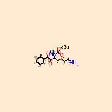 CC(C)(C)OC(=O)N[C@@H](CCCCN)C(=O)C(O[C]=O)c1ccccc1